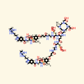 CCN1CCN(CC(=O)O)CCN(CC(=O)O)CCN(CC(=O)N[C@@H](CCC(=O)N[C@@H](CSOOO)C(=O)NCCNC(=O)CCCOc2cc(C)c(S(=O)(=O)N[C@@H](CNC(=O)c3ccc4c(cnn4CCCNc4ncc[nH]4)c3)C(=O)O)c(C)c2)C(=O)N[C@@H](CSOOO)C(=O)NCCNC(=O)CCCOc2cc(C)c(S(=O)(=O)N[C@@H](CNC(=O)c3ccc4c(cnn4CCCNc4ncc[nH]4)c3)C(=O)O)c(C)c2)CC1